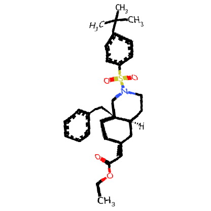 CCOC(=O)C=C1CC[C@]2(Cc3ccccc3)CN(S(=O)(=O)c3ccc(C(C)(C)C)cc3)CC[C@H]2C1